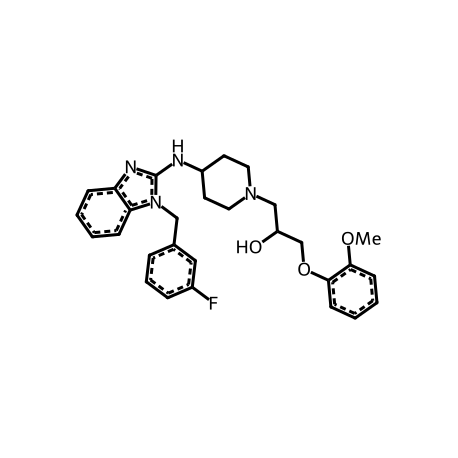 COc1ccccc1OCC(O)CN1CCC(Nc2nc3ccccc3n2Cc2cccc(F)c2)CC1